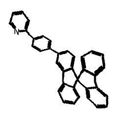 c1ccc(-c2ccc(-c3ccc4c(c3)-c3ccccc3C43c4ccccc4-c4ccccc43)cc2)nc1